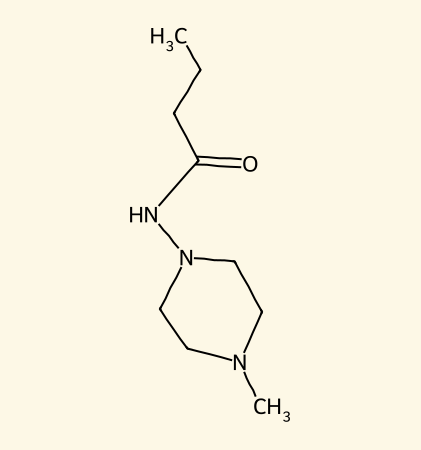 CCCC(=O)NN1CCN(C)CC1